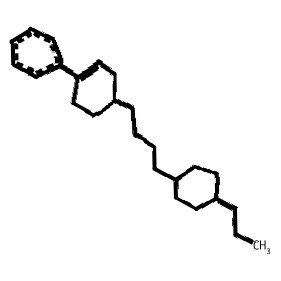 CCCC1CCC(CCCCC2CC=C(c3ccccc3)CC2)CC1